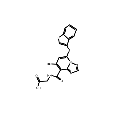 O=C(O)CNC(=O)c1c(O)cc(Sc2csc3ccccc23)n2ncnc12